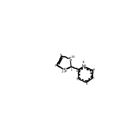 C1=CSC(c2ccccn2)S1